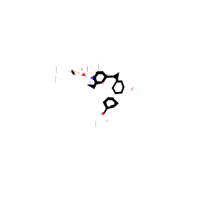 COC(=O)c1ccc([C@@H]2C[C@@H](OC)CC[C@H]2Oc2c(C3CC3)cc(C)c3c2ccn3C(=O)OC(C)(C)C)cc1